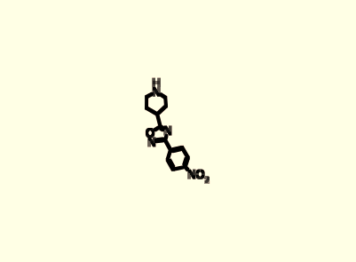 O=[N+]([O-])c1ccc(-c2noc(C3CCNCC3)n2)cc1